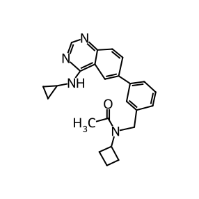 CC(=O)N(Cc1cccc(-c2ccc3ncnc(NC4CC4)c3c2)c1)C1CCC1